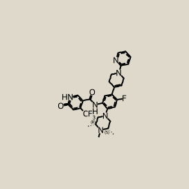 C[C@@H]1CN(c2cc(F)c(C3=CCN(c4ccccn4)CC3)cc2NC(=O)c2c[nH]c(=O)cc2C(F)(F)F)C[C@H](C)N1C